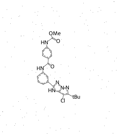 COC(=O)Nc1ccc(C(=O)Nc2cccc(-c3nn4nc(C(C)(C)C)c(Cl)c4[nH]3)c2)cc1